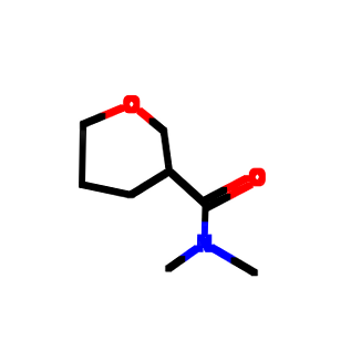 CN(C)C(=O)C1CCCOC1